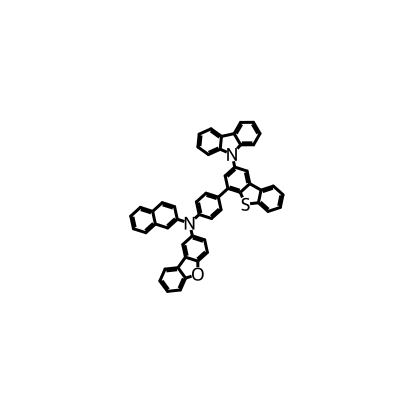 c1ccc2cc(N(c3ccc(-c4cc(-n5c6ccccc6c6ccccc65)cc5c4sc4ccccc45)cc3)c3ccc4oc5ccccc5c4c3)ccc2c1